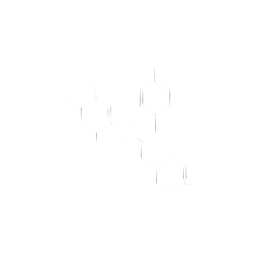 O=S(=O)(c1c(F)c(F)c(F)c(F)c1F)N(Cc1ccncc1)Cc1ccc(F)cc1